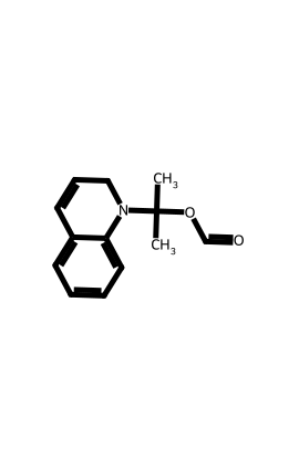 CC(C)(OC=O)N1CC=Cc2ccccc21